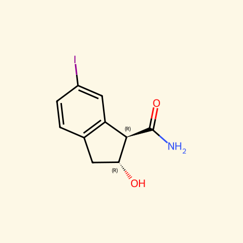 NC(=O)[C@@H]1c2cc(I)ccc2C[C@H]1O